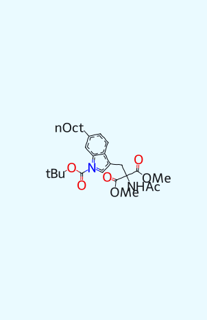 CCCCCCCCc1ccc2c(CC(NC(C)=O)(C(=O)OC)C(=O)OC)cn(C(=O)OC(C)(C)C)c2c1